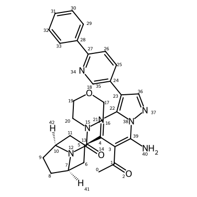 CC(=O)c1c([C@H]2C[C@H]3CC[C@@H](C2)N3C(=O)N2CCOCC2)nc2c(-c3ccc(-c4ccccc4)nc3)cnn2c1N